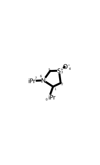 CC(C)C1C[S+]([O-])CN1C(C)C